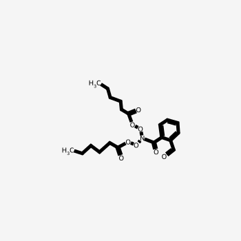 CCCCCC(=O)OON(OOC(=O)CCCCC)C(=O)c1ccccc1C=O